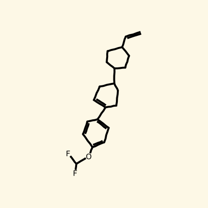 C=CC1CCC(C2CC=C(c3ccc(OC(F)F)cc3)CC2)CC1